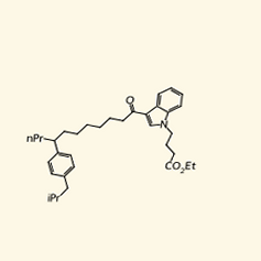 CCCC(CCCCCCC(=O)c1cn(CCCC(=O)OCC)c2ccccc12)c1ccc(CC(C)C)cc1